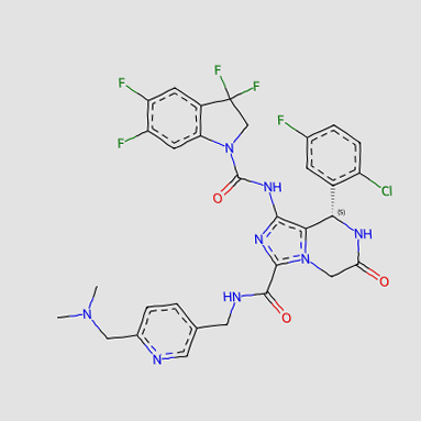 CN(C)Cc1ccc(CNC(=O)c2nc(NC(=O)N3CC(F)(F)c4cc(F)c(F)cc43)c3n2CC(=O)N[C@H]3c2cc(F)ccc2Cl)cn1